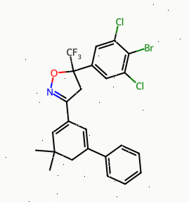 CC1(C)C=C(C2=NOC(c3cc(Cl)c(Br)c(Cl)c3)(C(F)(F)F)C2)C=C(c2ccccc2)C1